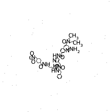 CCCN(CCC)C(=O)C1=Cc2ccc(C(=O)Nc3cncc(CNC(=O)C(Cc4ccccc4)NC(=O)CCCCCNC(=O)C4CCC(CN5C(=O)C=CC5=O)CC4)c3)cc2N=C(N)C1